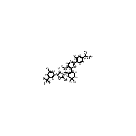 COC(=O)c1ccc(-c2ncc(OC)c(C3=C(CN4C(=O)O[C@H](c5cc(C)cc(C(F)(F)F)c5)[C@@H]4C)CC(C)(C)CC3)n2)c(C)c1